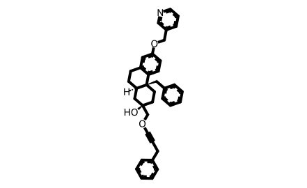 O[C@]1(COC#CCc2ccccc2)CC[C@@]2(Cc3ccccc3)c3ccc(OCc4cccnc4)cc3CC[C@@H]2C1